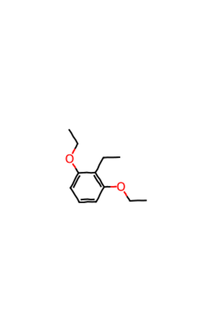 CCOc1cccc(OCC)c1CC